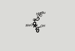 COc1cc(C(=O)N2CCC[C@@H](OC(=O)NC(C)(C)C)C2)cc2nc(-c3cc4ccccc4n3CCO)n(C)c12